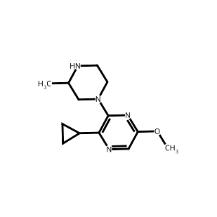 COc1cnc(C2CC2)c(N2CCNC(C)C2)n1